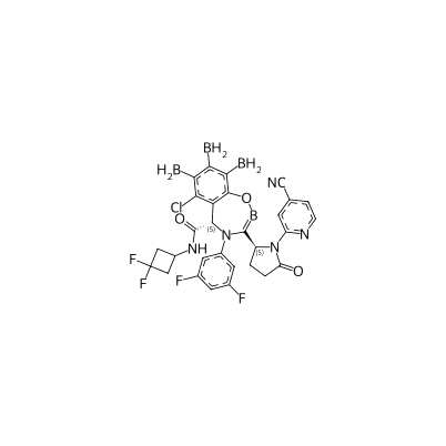 Bc1c(B)c(Cl)c2c(c1B)OB=C([C@@H]1CCC(=O)N1c1cc(C#N)ccn1)N(c1cc(F)cc(F)c1)[C@@H]2C(=O)NC1CC(F)(F)C1